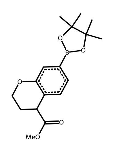 COC(=O)C1CCOc2cc(B3OC(C)(C)C(C)(C)O3)ccc21